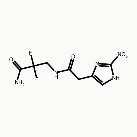 NC(=O)C(F)(F)CNC(=O)Cc1c[nH]c([N+](=O)[O-])n1